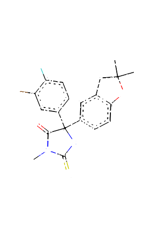 CN1C(=O)C(c2ccc(F)c(Br)c2)(c2ccc3c(c2)CC(C)(C)O3)NC1=S